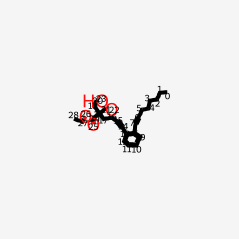 CCCCCCC#Cc1ccccc1C#CCCC(CC)(C(=O)O)C(=O)OCC